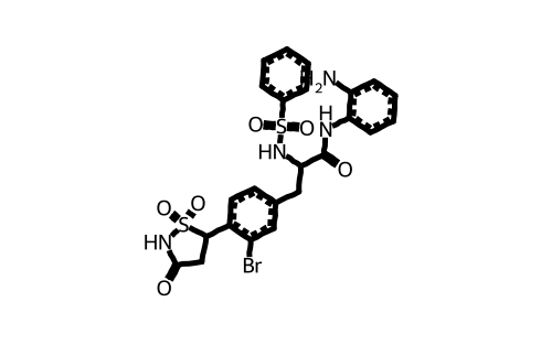 Nc1ccccc1NC(=O)C(Cc1ccc(C2CC(=O)NS2(=O)=O)c(Br)c1)NS(=O)(=O)c1ccccc1